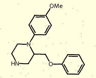 COc1ccc(N2CCNCC2COc2ccccc2)cc1